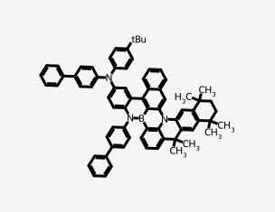 CC(C)(C)c1ccc(N(c2ccc(-c3ccccc3)cc2)c2ccc3c(c2)-c2c4c(cc5ccccc25)N2c5cc6c(cc5C(C)(C)c5cccc(c52)B4N3c2ccc(-c3ccccc3)cc2)C(C)(C)CCC6(C)C)cc1